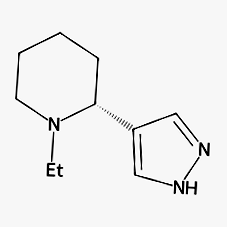 CCN1CCCC[C@@H]1c1cn[nH]c1